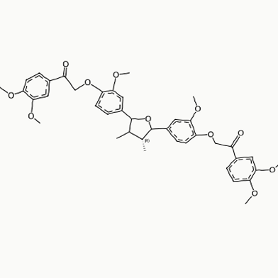 COc1ccc(C(=O)COc2ccc(C3OC(c4ccc(OCC(=O)c5ccc(OC)c(OC)c5)c(OC)c4)[C@H](C)C3C)cc2OC)cc1OC